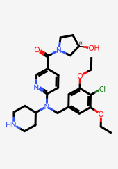 CCOc1cc(CN(c2ccc(C(=O)N3CC[C@@H](O)C3)cn2)C2CCNCC2)cc(OCC)c1Cl